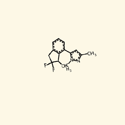 Cc1cc(-c2cccc3c2C(O)C(F)(F)C3)n(C)n1